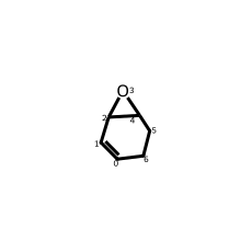 C1=CC2OC2CC1